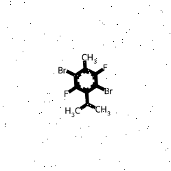 Cc1c(F)c(Br)c(C(C)C)c(F)c1Br